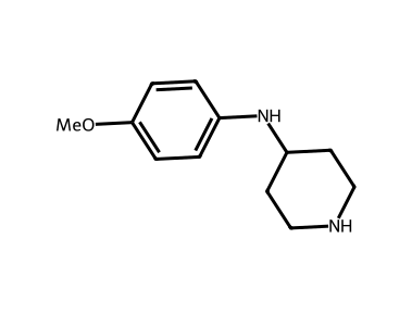 COc1ccc(NC2CCNCC2)cc1